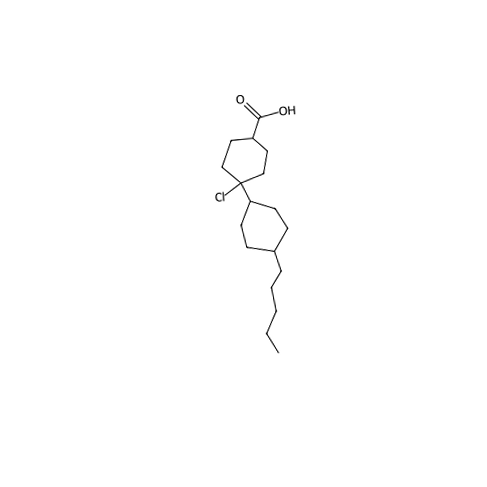 CCCCCC1CCC(C2(Cl)CCC(C(=O)O)CC2)CC1